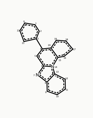 c1ccc(-c2cc3nc4ccccc4n3c3ccccc23)cc1